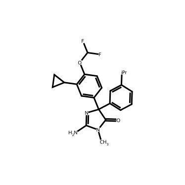 CC(C)c1cccc(C2(c3ccc(OC(F)F)c(C4CC4)c3)N=C(N)N(C)C2=O)c1